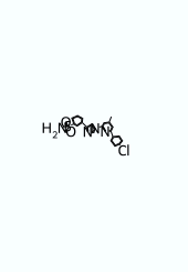 Cc1cc(-c2ccc(Cl)cc2)nc(-n2cnc(-c3cccc(S(N)(=O)=O)c3)c2)c1